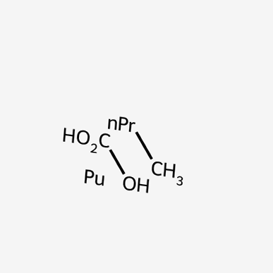 CCCC.O=C(O)O.[Pu]